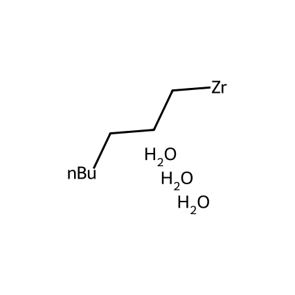 CCCCCC[CH2][Zr].O.O.O